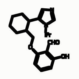 CC(C)n1cncc1C1CCCCC1COc1cccc(O)c1C=O